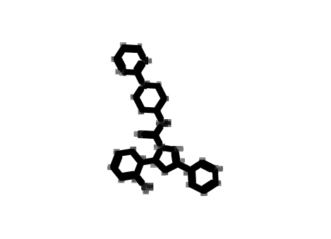 O=C(NC1CCN(c2ncccn2)CC1)N1N=C(c2cccnc2)CC1C1CC=CC=C1O